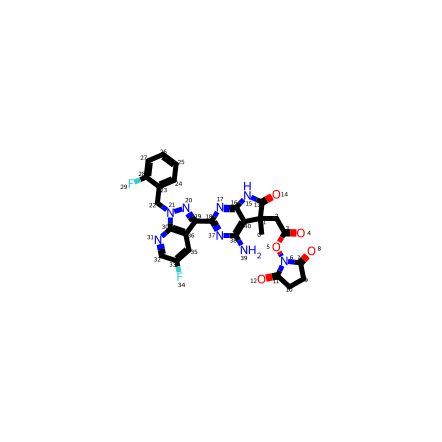 CC1(CC(=O)ON2C(=O)CCC2=O)C(=O)Nc2nc(-c3nn(Cc4ccccc4F)c4ncc(F)cc34)nc(N)c21